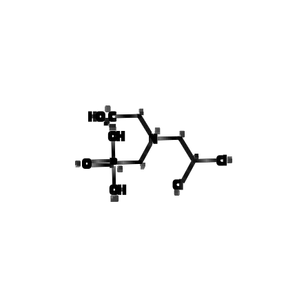 O=C(O)CN(CC(Cl)Cl)CP(=O)(O)O